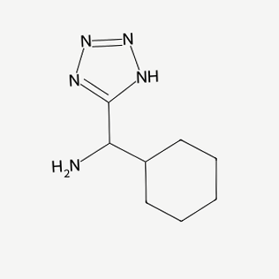 NC(c1nnn[nH]1)C1CCCCC1